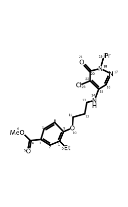 CCc1cc(C(=O)OC)ccc1OCCCNc1cnn(C(C)C)c(=O)c1Cl